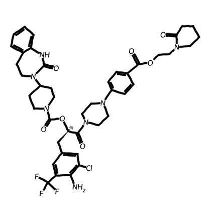 Nc1c(Cl)cc(C[C@@H](OC(=O)N2CCC(N3CCc4ccccc4NC3=O)CC2)C(=O)N2CCN(c3ccc(C(=O)OCCN4CCCCC4=O)cc3)CC2)cc1C(F)(F)F